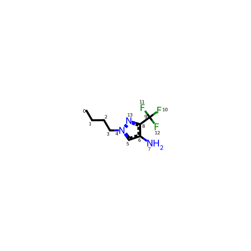 CCCCn1cc(N)c(C(F)(F)F)n1